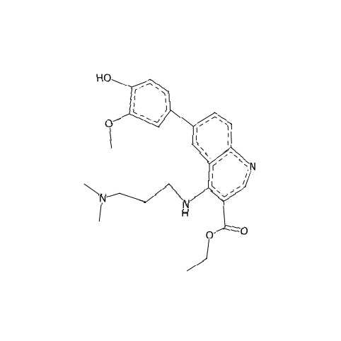 CCOC(=O)c1cnc2ccc(-c3ccc(O)c(OC)c3)cc2c1NCCCN(C)C